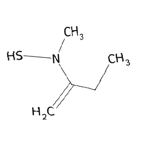 C=C(CC)N(C)S